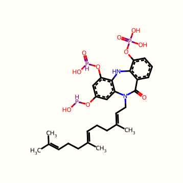 CC(C)=CCC/C(C)=C/CC/C(C)=C/CN1C(=O)c2cccc(OP(=O)(O)O)c2Nc2c(O[PH](=O)O)cc(OPO)cc21